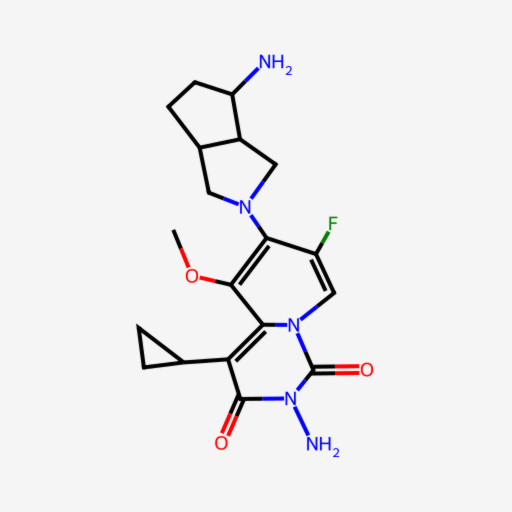 COc1c(N2CC3CCC(N)C3C2)c(F)cn2c(=O)n(N)c(=O)c(C3CC3)c12